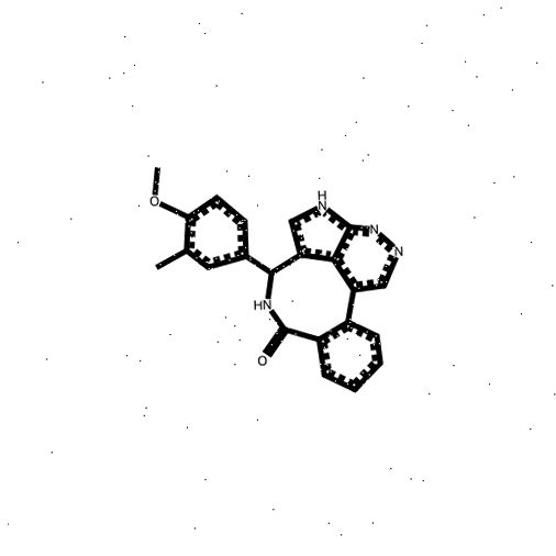 COc1ccc(C2NC(=O)c3ccccc3-c3cnnc4[nH]cc2c34)cc1C